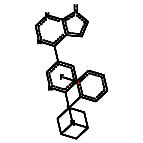 Fc1ccccc1CN1C2CC1CN(c1ccc(-c3ncnc4[nH]ccc34)cn1)C2